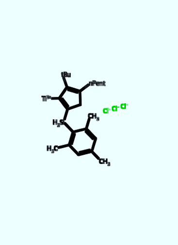 CCCCCC1=C(C(C)(C)C)[C]([Ti+3])=C([SiH2]c2c(C)cc(C)cc2C)C1.[Cl-].[Cl-].[Cl-]